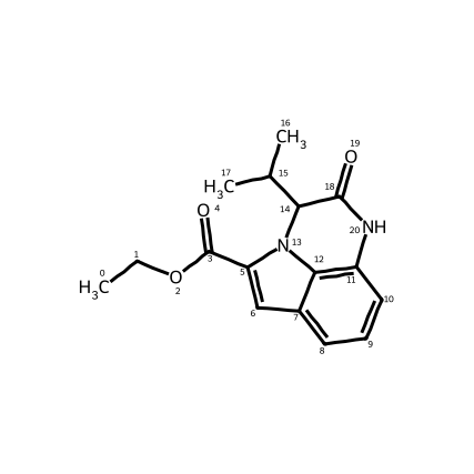 CCOC(=O)c1cc2cccc3c2n1C(C(C)C)C(=O)N3